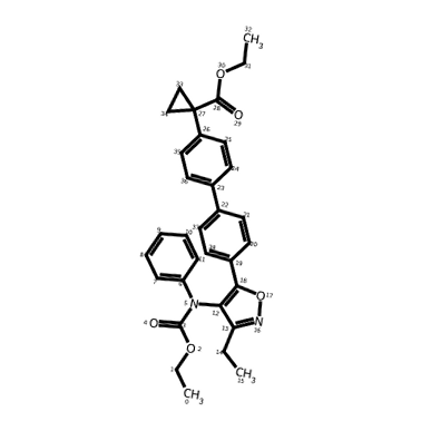 CCOC(=O)N(c1ccccc1)c1c(CC)noc1-c1ccc(-c2ccc(C3(C(=O)OCC)CC3)cc2)cc1